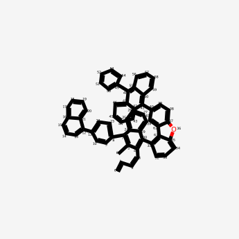 C=C/C=C\c1c(C)c(-c2ccc(-c3cccc4ccccc34)cc2)c2ccccc2c1-c1cccc2oc3ccc(-c4c5ccccc5c(-c5ccccc5)c5ccccc45)cc3c12